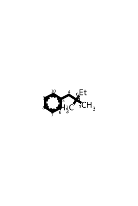 CCC(C)(C)Cc1cc[c]cc1